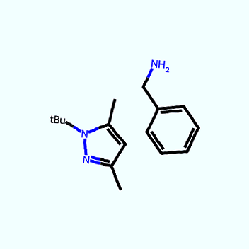 Cc1cc(C)n(C(C)(C)C)n1.NCc1ccccc1